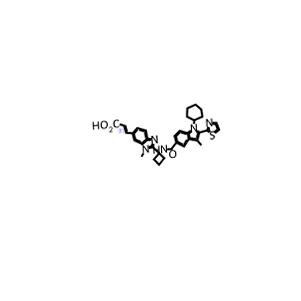 Cc1c(-c2nccs2)n(C2CCCCC2)c2ccc(C(=O)NC3(c4nc5ccc(/C=C/C(=O)O)cc5n4C)CCC3)cc12